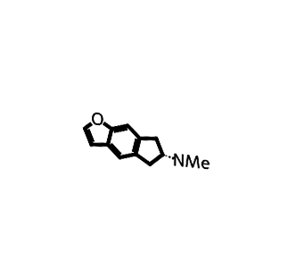 CN[C@@H]1Cc2cc3ccoc3cc2C1